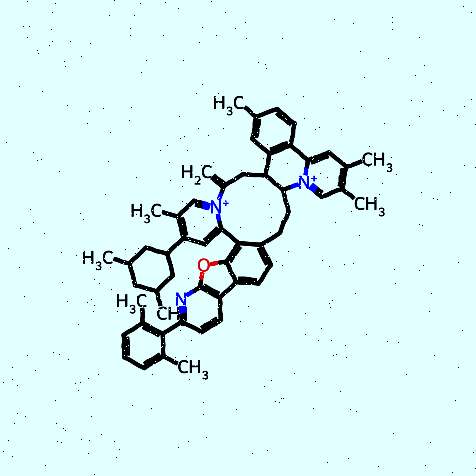 C=C1CC2c3cc(C)ccc3-c3cc(C)c(C)c[n+]3C2CCc2ccc3c(oc4nc(-c5c(C)cccc5C)ccc43)c2-c2cc(C3CC(C)CC(C)C3)c(C)c[n+]21